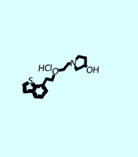 Cl.OC1CCN(CCOCCc2cccc3ccsc23)C1